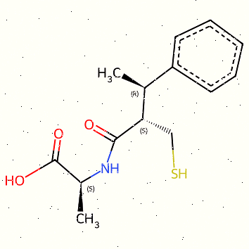 C[C@H](NC(=O)[C@@H](CS)[C@@H](C)c1ccccc1)C(=O)O